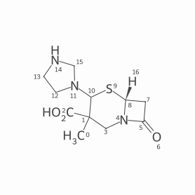 CC1(C(=O)O)CN2C(=O)C[C@H]2SC1N1CCNC1